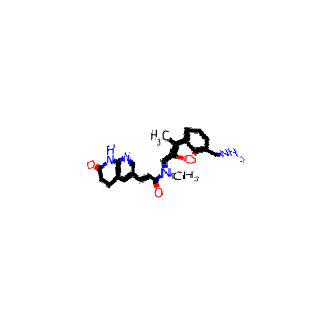 Cc1c(CN(C)C(=O)/C=C/c2cnc3c(c2)CCC(=O)N3)oc2c(CN)cccc12